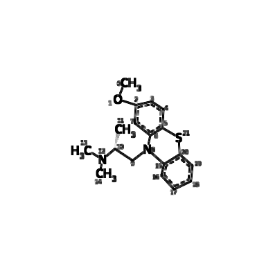 COc1ccc2c(c1)N(C[C@@H](C)N(C)C)c1ccccc1S2